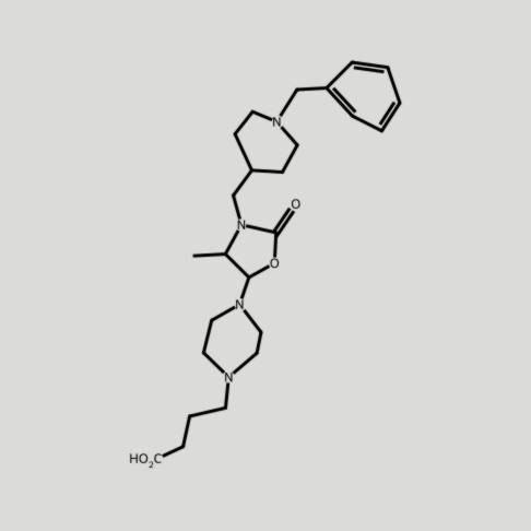 CC1C(N2CCN(CCCC(=O)O)CC2)OC(=O)N1CC1CCN(Cc2ccccc2)CC1